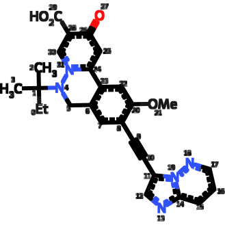 CCC(C)(C)N1Cc2cc(C#Cc3cnc4cccnn34)c(OC)cc2-c2cc(=O)c(C(=O)O)cn21